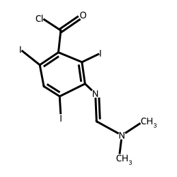 CN(C)C=Nc1c(I)cc(I)c(C(=O)Cl)c1I